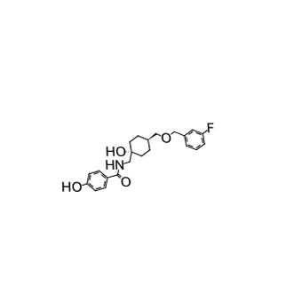 O=C(NC[C@]1(O)CC[C@H](COCc2cccc(F)c2)CC1)c1ccc(O)cc1